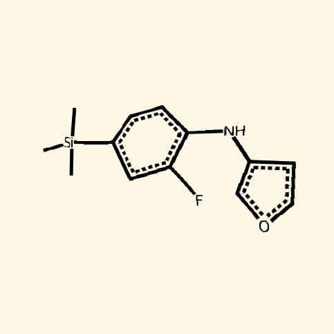 C[Si](C)(C)c1ccc(Nc2ccoc2)c(F)c1